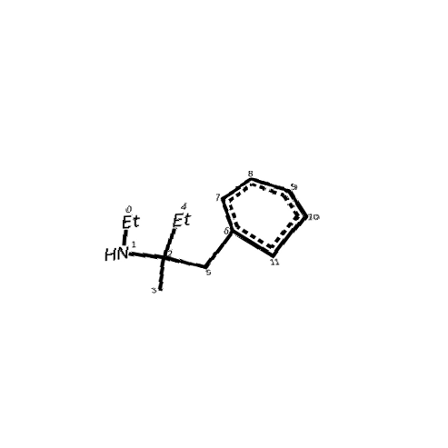 CCNC(C)(CC)Cc1ccccc1